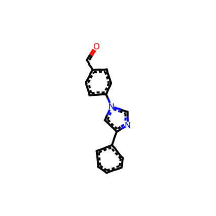 O=Cc1ccc(-n2cnc(-c3ccccc3)c2)cc1